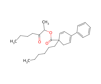 CCCCCCC1(C(=O)OC(C)C(=O)CCCC)C=CC(c2ccccc2)=CC1